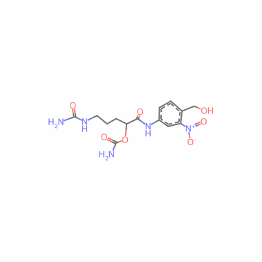 NC(=O)NCCCC(OC(N)=O)C(=O)Nc1ccc(CO)c([N+](=O)[O-])c1